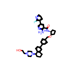 Nc1ncc(-c2cccnc2F)cc1C(=O)N[C@H]1CCC[C@@H]1OCc1ccc(-c2ccc3c(c2)CCCC3N2CCN(CCO)CC2)cc1